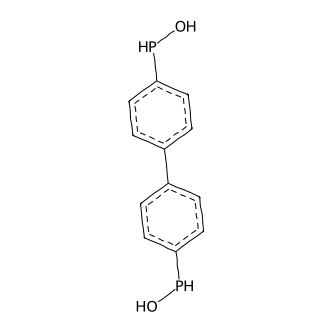 OPc1ccc(-c2ccc(PO)cc2)cc1